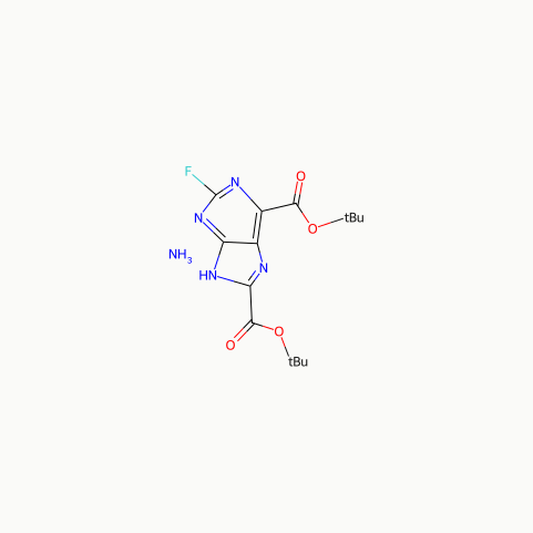 CC(C)(C)OC(=O)c1nc2c(C(=O)OC(C)(C)C)nc(F)nc2[nH]1.N